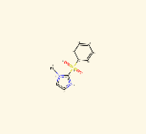 CCn1ccnc1S(=O)(=O)C1C=CC=CC1